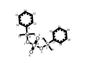 C[Si](C)([O][Cr](=[O])(=[O])[O][Si](C)(C)c1ccccc1)c1ccccc1